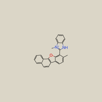 Cc1ccc2c(oc3c4ccccc4ccc23)c1-c1[nH]c2ccccc2[n+]1C